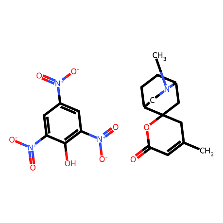 CC1=CC(=O)OC2(C1)CC1CCC2CN1C.O=[N+]([O-])c1cc([N+](=O)[O-])c(O)c([N+](=O)[O-])c1